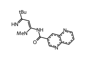 CN/C(=C\C(=N)C(C)(C)C)NC(=O)c1cnc2cccnc2c1